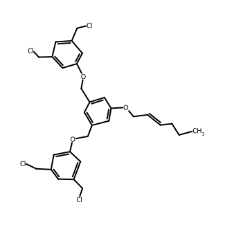 CCC/C=C/COc1cc(COc2cc(CCl)cc(CCl)c2)cc(COc2cc(CCl)cc(CCl)c2)c1